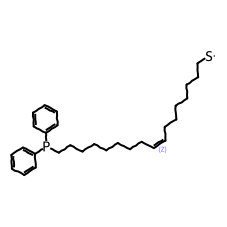 [S]CCCCCCC/C=C\CCCCCCCCP(c1ccccc1)c1ccccc1